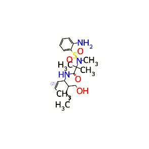 C/C=C\C(NC(=O)C(C)(C)N(C)S(=O)(=O)c1ccccc1N)C(CO)CCC